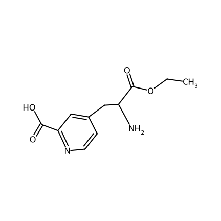 CCOC(=O)C(N)Cc1ccnc(C(=O)O)c1